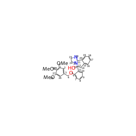 COc1cc(COc2ccccc2C2(O)Cc3ccccc3C3=NCCN32)cc(OC)c1OC